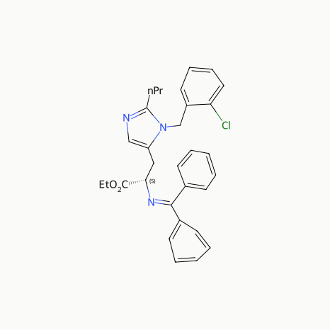 CCCc1ncc(C[C@H](N=C(c2ccccc2)c2ccccc2)C(=O)OCC)n1Cc1ccccc1Cl